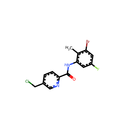 Cc1c(Br)cc(F)cc1NC(=O)c1ccc(CCl)cn1